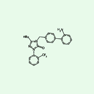 CCCCc1nn(-c2ccccc2C(F)(F)F)c(=O)n1Cc1ccc(-c2ccccc2N)cc1